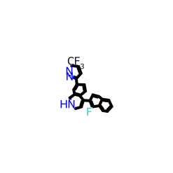 Fc1c(C2=CCNCc3cc(-c4ccc(C(F)(F)F)nn4)ccc32)ccc2ccccc12